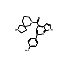 O=C(c1cc(-c2ccc(O)cc2)nc2[nH]ncc12)N1CCCC2(CCNC2)C1